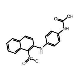 O=C(O)Nc1ccc(Nc2ccc3ccccc3c2[N+](=O)[O-])cc1